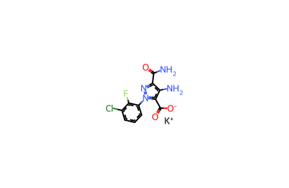 NC(=O)c1nn(-c2cccc(Cl)c2F)c(C(=O)[O-])c1N.[K+]